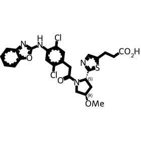 CO[C@@H]1C[C@@H](c2ncc(CCC(=O)O)s2)N(C(=O)Cc2cc(Cl)c(Nc3nc4ccccc4o3)cc2Cl)C1